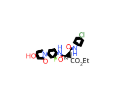 CCOC(=O)[C@H]1[C@H](C(=O)Nc2ccc(Cl)cc2)[C@@H]1C(=O)Nc1ccc(-n2ccc(O)cc2=O)cc1F